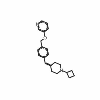 C(=C1CCN(C2CCC2)CC1)c1ccc(COc2cccnc2)cc1